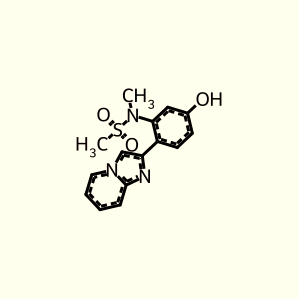 CN(c1cc(O)ccc1-c1cn2ccccc2n1)S(C)(=O)=O